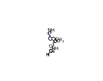 C[C@]12CCC3/C(=C/C=C\C(=N)F)CCCC3C1[C@H](CCC(=O)Nc1ccc(C#N)cn1)CC2=O